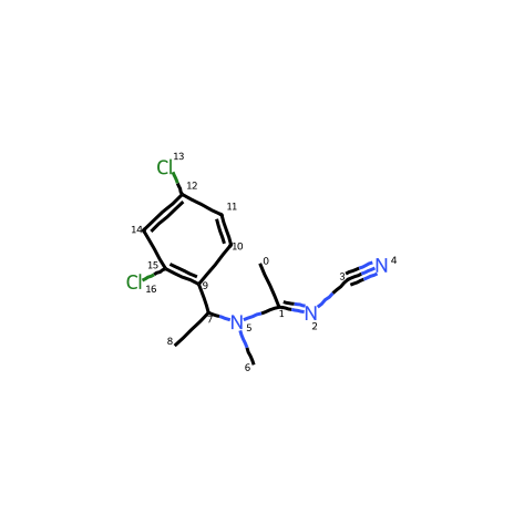 C/C(=N\C#N)N(C)C(C)c1ccc(Cl)cc1Cl